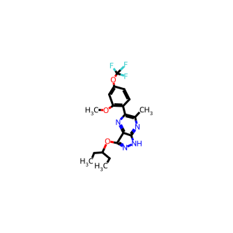 CCC(CC)Oc1n[nH]c2nc(C)c(-c3ccc(OC(F)(F)F)cc3OC)nc12